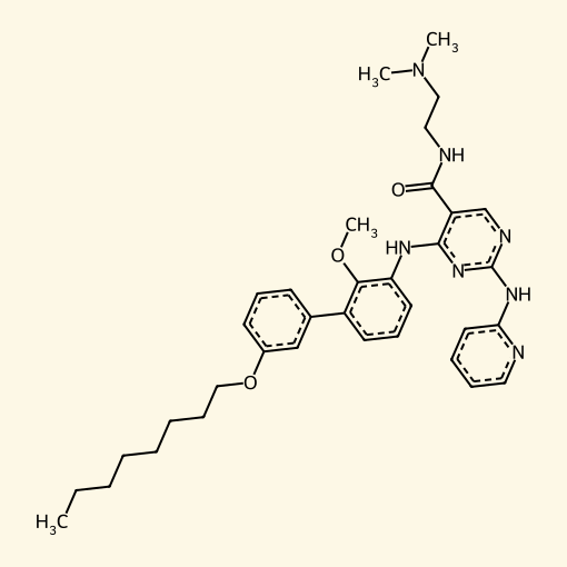 CCCCCCCCOc1cccc(-c2cccc(Nc3nc(Nc4ccccn4)ncc3C(=O)NCCN(C)C)c2OC)c1